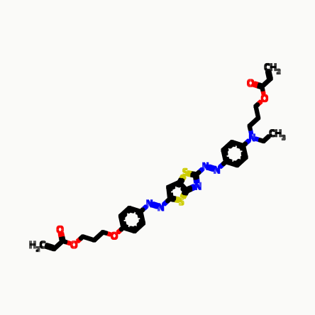 C=CC(=O)OCCCOc1ccc(/N=N/c2cc3sc(/N=N/c4ccc(N(CC)CCCOC(=O)C=C)cc4)nc3s2)cc1